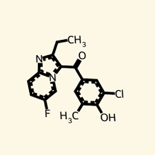 CCc1nc2ccc(F)cn2c1C(=O)c1cc(C)c(O)c(Cl)c1